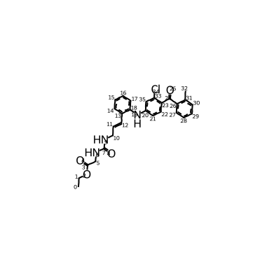 CCOC(=O)CNC(=O)NCC=Cc1ccccc1Nc1ccc(C(=O)c2ccccc2C)c(Cl)c1